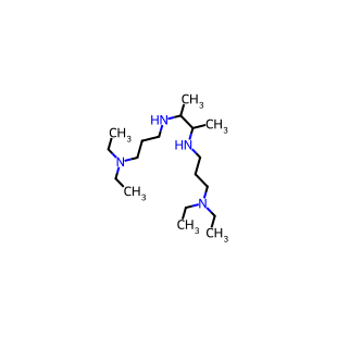 CCN(CC)CCCNC(C)C(C)NCCCN(CC)CC